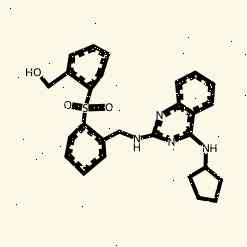 O=S(=O)(c1ccccc1CO)c1ccccc1CNc1nc(NC2CCCC2)c2ccccc2n1